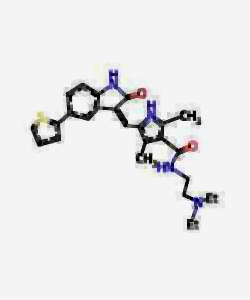 CCN(CC)CCNC(=O)c1c(C)[nH]c(/C=C2\C(=O)Nc3ccc(-c4cccs4)cc32)c1C